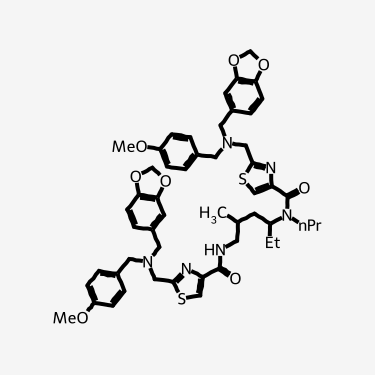 CCCN(C(=O)c1csc(CN(Cc2ccc(OC)cc2)Cc2ccc3c(c2)OCO3)n1)C(CC)CC(C)CNC(=O)c1csc(CN(Cc2ccc(OC)cc2)Cc2ccc3c(c2)OCO3)n1